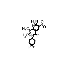 CCN(C)c1nc(N)c([N+](=O)[O-])cc1C(=O)NC1CCC(F)(F)CC1